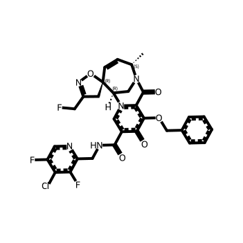 C[C@H]1C=C[C@]2(CC(CF)=NO2)[C@H]2CN1C(=O)c1c(OCc3ccccc3)c(=O)c(C(=O)NCc3ncc(F)c(Cl)c3F)cn12